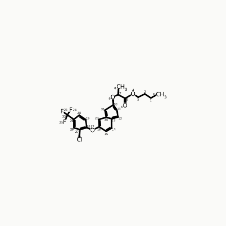 CCCCOC(=O)C(C)Oc1ccc2ccc(Oc3ccc(C(F)(F)F)cc3Cl)cc2c1